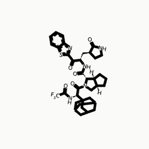 O=C1NCC[C@H]1C[C@H](NC(=O)[C@@H]1[C@H]2CCC[C@H]2CN1C(=O)[C@@H](NC(=O)C(F)(F)F)C12CC3CC(CC(C3)C1)C2)C(=O)c1nc2ccccc2s1